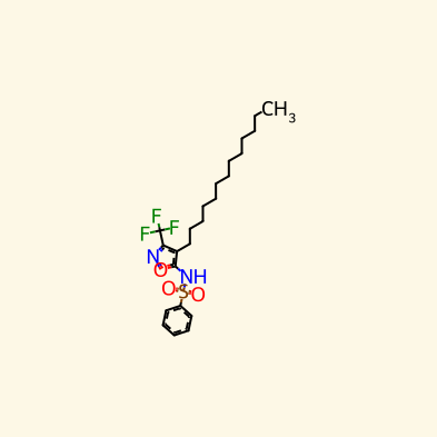 CCCCCCCCCCCCCc1c(C(F)(F)F)noc1NS(=O)(=O)c1ccccc1